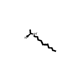 CCCCCCCCCCNC(C)C#N